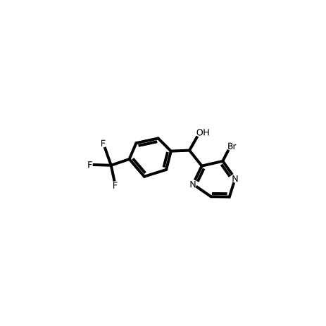 OC(c1ccc(C(F)(F)F)cc1)c1nccnc1Br